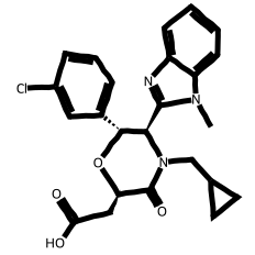 Cn1c([C@@H]2[C@@H](c3cccc(Cl)c3)O[C@H](CC(=O)O)C(=O)N2CC2CC2)nc2ccccc21